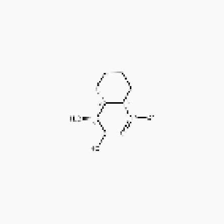 B[C@H](CO)[C@@H]1CCCC[C@@H]1[N+](=O)[O-]